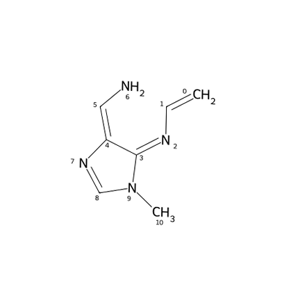 C=C/N=C1\C(=C/N)N=CN1C